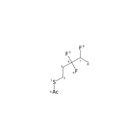 CC(=O)SCCC(F)(F)C(C)F